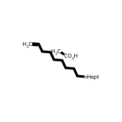 C=CCCCCCCCCCCCCCC.CC(=O)O